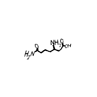 NC(=O)CCCC(N)CC(=O)O